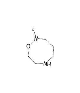 IN1CCCNCCO1